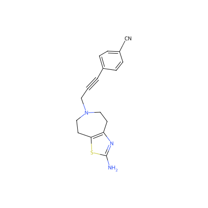 N#Cc1ccc(C#CCN2CCc3nc(N)sc3CC2)cc1